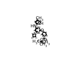 Cc1cc(Nc2cc(N3CCC3)nc(OC3CCN(C(=O)OC(C)(C)C)C3)n2)[nH]n1